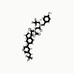 C[C@H](N(Cc1ccc(F)cc1)C(=O)CN1C(=O)O[C@@]2(CCc3cc(-c4cncc(CC(F)(F)F)c4)ccc32)C1=O)C(F)(F)F